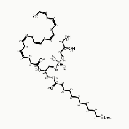 CC/C=C\C/C=C\C/C=C\C/C=C\C/C=C\C/C=C\CCC(=O)O[C@H](COC(=O)CCCCCCCCCCCCCCCCCCCC)COP(=O)(O)OCC(O)CO